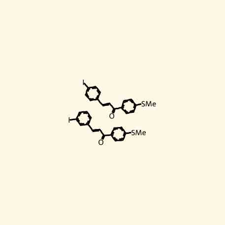 CSc1ccc(C(=O)/C=C/c2ccc(I)cc2)cc1.CSc1ccc(C(=O)/C=C/c2cccc(I)c2)cc1